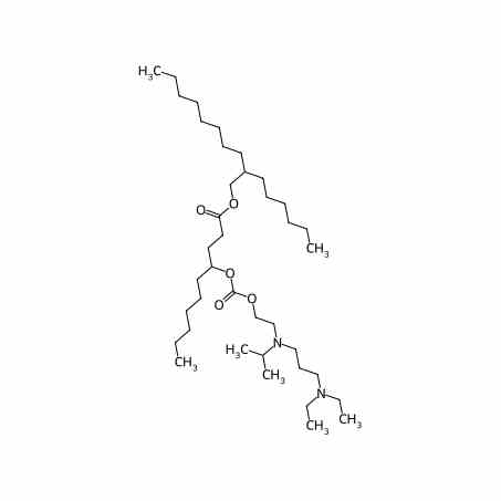 CCCCCCCCC(CCCCCC)COC(=O)CCC(CCCCCC)OC(=O)OCCN(CCCN(CC)CC)C(C)C